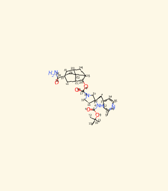 Cc1cc(C[C@@]2(NC(=O)OC(C)(C)C)CCN(C(=O)OC3C4CC5CC3CC(C(N)=O)(C5)C4)C2)ccn1